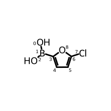 OB(O)c1ccc(Cl)o1